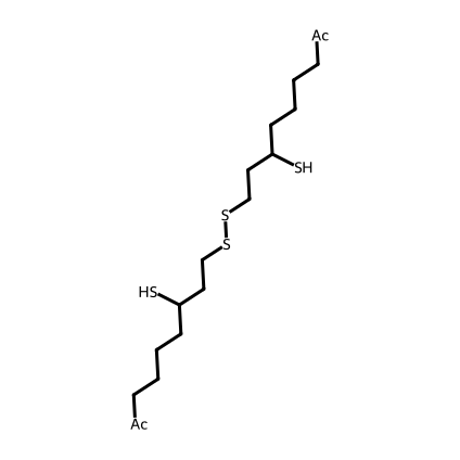 CC(=O)CCCCC(S)CCSSCCC(S)CCCCC(C)=O